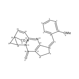 COc1ccccc1/C=C1/CCc2c1nc1n(c2=O)C2CC2(C(=O)O)C=C1